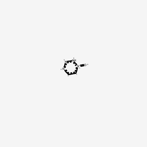 O=[n+]1ccnn[nH]1